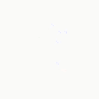 O=C(c1ccccc1)N1CCC(CNc2cc(-c3ccccc3Cl)nc3c(Br)cnn23)CC1